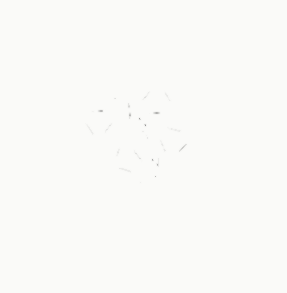 Cc1cc2c3c(c1)N1c4c(cccc4C4(C)CCCCC14C)B3n1c3c(c4cccc-2c41)C(C)(C)c1ccccc1-3